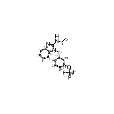 CCNc1nc2ccccc2n1Cc1cccc(OC(F)(F)F)c1